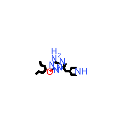 CCCC(CCC)Oc1nc(N)c2ncc(CC3CCNCC3)n2n1